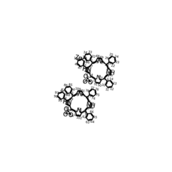 O=S(=O)([O-])c1c2nc(c(-c3ccccc3)c3ccc([nH]3)c(-c3ccccc3)c3nc(c(-c4ccccc4)c4[nH]c1cc4-c1ccccc1)C=C3)C=C2.O=S(=O)([O-])c1c2nc(c(-c3ccccc3)c3ccc([nH]3)c(-c3ccccc3)c3nc(c(-c4ccccc4)c4[nH]c1cc4-c1ccccc1)C=C3)C=C2.[Zn+2]